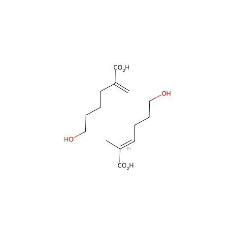 C/C(=C\CCCO)C(=O)O.C=C(CCCCO)C(=O)O